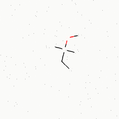 CCC[CH][Si](C)(C)OCC